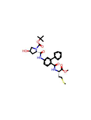 COC(=O)[C@H](CCSC)NC(=O)c1ccc(NC(=O)[C@@H]2CC(O)CN2C(=O)OC(C)(C)C)cc1-c1ccccc1